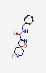 O=C(NCc1ccccc1)C1=NOC2(CCNCC2)C1